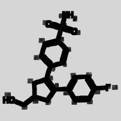 NS(=O)(=O)c1ccc(C2=C(c3ccc(F)cc3)CC(CO)C2)cc1